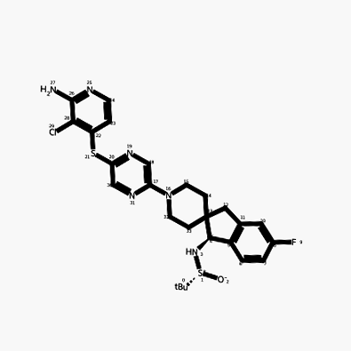 CC(C)(C)[S@@+]([O-])N[C@@H]1c2ccc(F)cc2CC12CCN(c1cnc(Sc3ccnc(N)c3Cl)cn1)CC2